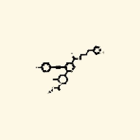 CC1CC(c2ncc(C(=O)NCCCc3cn[nH]c3)cc2C#Cc2ccc(F)cc2)CCN1C(=O)OC(C)(C)C